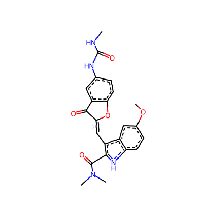 CNC(=O)Nc1ccc2c(c1)C(=O)/C(=C/c1c(C(=O)N(C)C)[nH]c3ccc(OC)cc13)O2